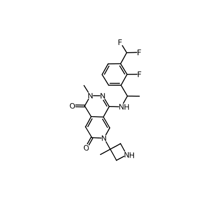 CC(Nc1nn(C)c(=O)c2cc(=O)n(C3(C)CNC3)cc12)c1cccc(C(F)F)c1F